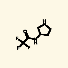 O=C(NC1CCNC1)C(F)(F)F